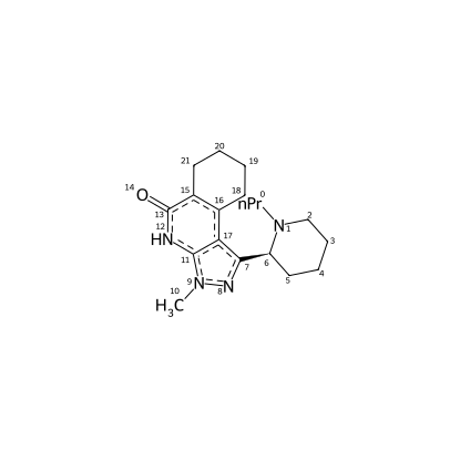 CCCN1CCCC[C@H]1c1nn(C)c2[nH]c(=O)c3c(c12)CCCC3